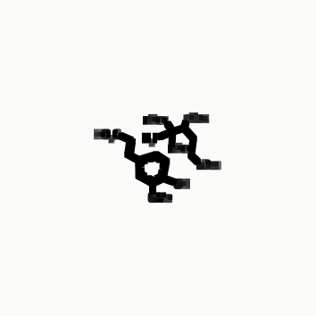 CCCCCCCCCCCCC(CCCCCC)C(P)(CCCCCC)CCCCCC.COc1cc(C=CC(=O)O)ccc1O